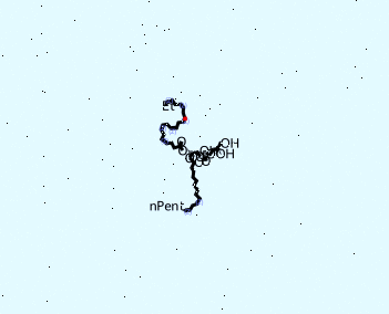 CC/C=C\C/C=C\C/C=C\C/C=C\C/C=C\C/C=C\CCC(=O)OC[C@H](COP(=O)(O)OC[C@@H](O)CO)OC(=O)CCCCCCC/C=C\C/C=C\CCCCC